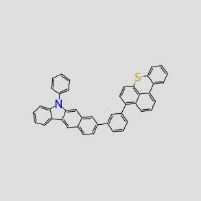 c1ccc(-n2c3ccccc3c3cc4ccc(-c5cccc(-c6ccc7c8c(cccc68)-c6ccccc6S7)c5)cc4cc32)cc1